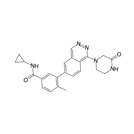 Cc1ccc(C(=O)NC2CC2)cc1-c1ccc2c(N3CCNC(=O)C3)nncc2c1